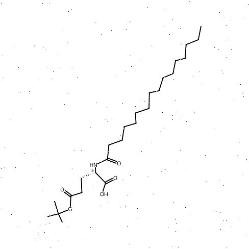 CCCCCCCCCCCCCCCC(=O)N[C@@H](CCC(=O)OC(C)(C)C)C(=O)O